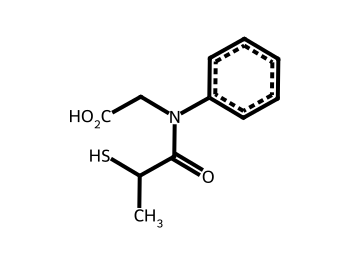 CC(S)C(=O)N(CC(=O)O)c1ccccc1